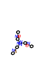 c1ccc(-c2nc3ccc(-c4nc(-c5ccc(-c6nc7ccccc7s6)cc5)nc(-c5ccc6nc(-c7ccccc7)oc6c5)n4)cc3o2)cc1